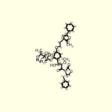 CO[C@H](C(=O)N1C(=O)OC[C@@H]1Cc1ccccc1)[C@H](O)c1ccc(OCCc2nc(-c3ccccc3)oc2C)cc1O[Si](C)(C)C(C)(C)C(C)C